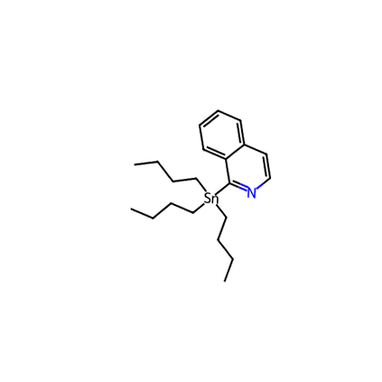 CCC[CH2][Sn]([CH2]CCC)([CH2]CCC)[c]1nccc2ccccc12